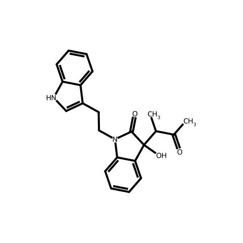 CC(=O)C(C)C1(O)C(=O)N(CCc2c[nH]c3ccccc23)c2ccccc21